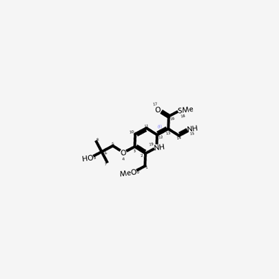 COCC1=C(OCC(C)(C)O)C=C/C(=C(/C=N)C(=O)SC)N1